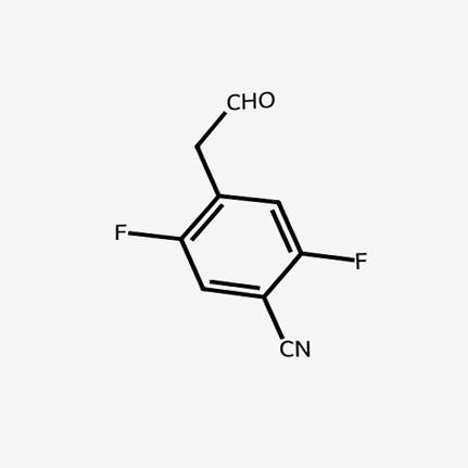 N#Cc1cc(F)c(CC=O)cc1F